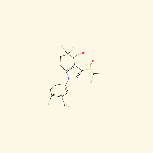 [O-][S@+](c1cn(-c2ccc(F)c(C(F)(F)F)c2)c2c1C(O)C(F)(F)CC2)C(F)F